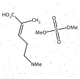 CNCCC=C(C)C(=O)O.COS(=O)(=O)OC